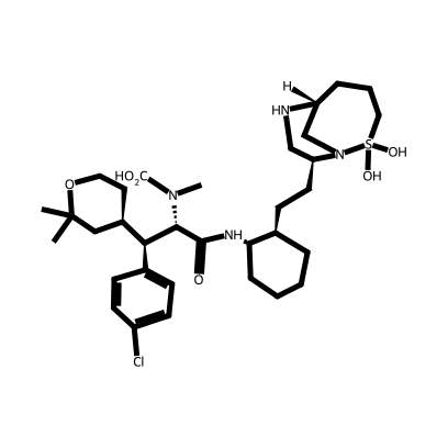 CN(C(=O)O)[C@H](C(=O)N[C@H]1CCCC[C@@H]1CC[C@H]1CN[C@@H]2CCCS(O)(O)N1C2)[C@@H](c1ccc(Cl)cc1)[C@@H]1CCOC(C)(C)C1